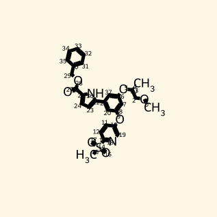 COC[C@H](C)Oc1cc(Oc2ccc(S(C)(=O)=O)nc2)cc(-c2ccc(C(=O)OCc3ccccc3)[nH]2)c1